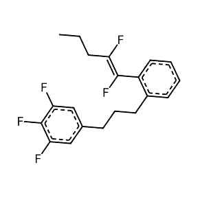 CCC/C(F)=C(\F)c1ccccc1CCCc1cc(F)c(F)c(F)c1